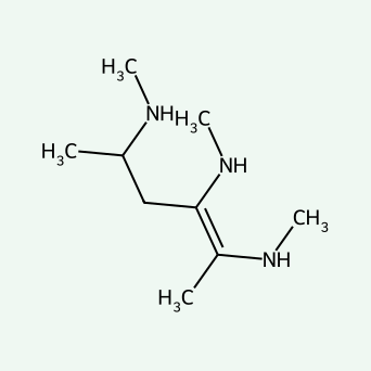 CNC(C)=C(CC(C)NC)NC